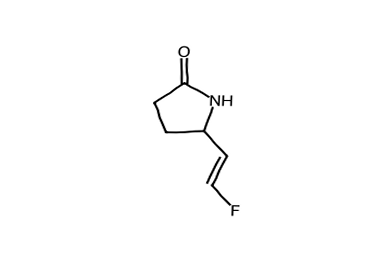 O=C1CCC(C=CF)N1